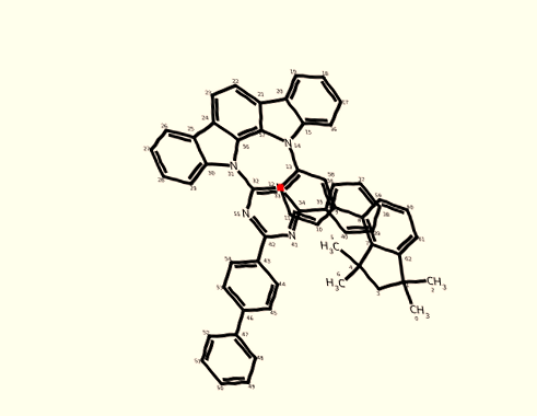 CC1(C)CC(C)(C)c2c(-c3cccc(-n4c5ccccc5c5ccc6c7ccccc7n(-c7nc(-c8ccccc8)nc(-c8ccc(-c9ccccc9)cc8)n7)c6c54)c3)cccc21